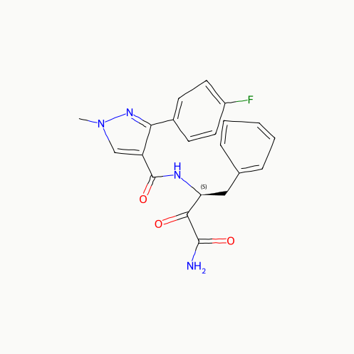 Cn1cc(C(=O)N[C@@H](Cc2ccccc2)C(=O)C(N)=O)c(-c2ccc(F)cc2)n1